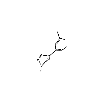 C/C=C(\C=C(/C)F)c1cnn(C)c1